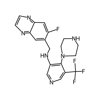 Fc1cc2nccnc2cc1CNc1cncc(C(F)(F)F)c1N1CCNCC1